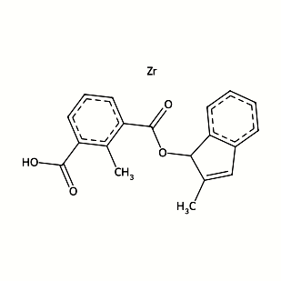 CC1=Cc2ccccc2C1OC(=O)c1cccc(C(=O)O)c1C.[Zr]